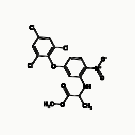 COC(=O)C(C)Nc1cc(Oc2c(Cl)cc(Cl)cc2Cl)ccc1[N+](=O)[O-]